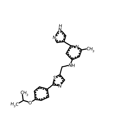 Cc1cc(NCc2cnc(-c3ccc(OC(C)C)cc3)s2)cc(-c2cn[nH]c2)n1